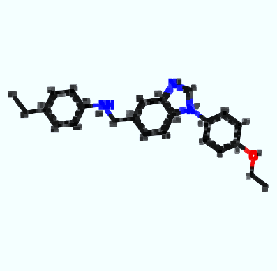 CCOc1ccc(-n2cnc3cc(CNc4ccc(CC)cc4)ccc32)cc1